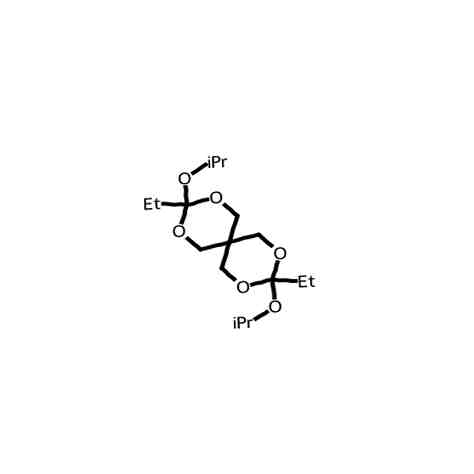 CCC1(OC(C)C)OCC2(CO1)COC(CC)(OC(C)C)OC2